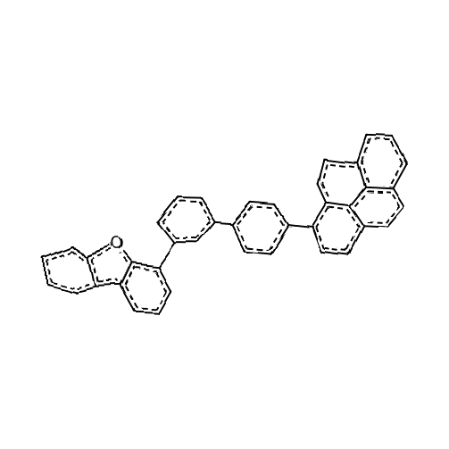 c1cc(-c2ccc(-c3ccc4ccc5cccc6ccc3c4c56)cc2)cc(-c2cccc3c2oc2ccccc23)c1